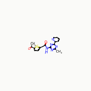 CC(=O)c1ccc(C(=O)Nc2nc(C)nc(-c3ccccn3)n2)s1